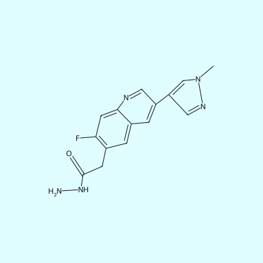 Cn1cc(-c2cnc3cc(F)c(CC(=O)NN)cc3c2)cn1